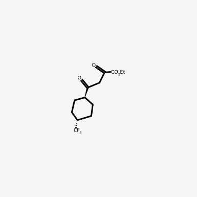 CCOC(=O)C(=O)CC(=O)[C@H]1CC[C@H](C(F)(F)F)CC1